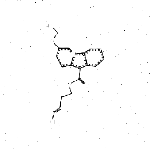 C/C=C/CCOC(=O)c1c2ccccc2n2cc(OCC#N)ccc12